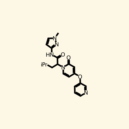 CC(C)CC(C(=O)Nc1ccn(C)n1)n1ccc(Oc2cccnc2)cc1=O